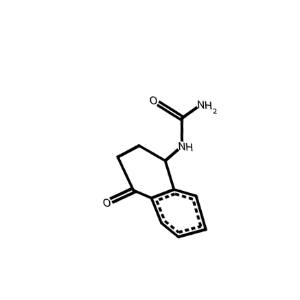 NC(=O)NC1CCC(=O)c2ccccc21